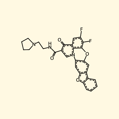 O=C(NCCN1CCCC1)c1cn2c3c(c(F)c(F)cc3c1=O)Oc1cc3c(cc1-2)oc1ccccc13